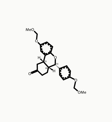 COCOc1ccc([C@H]2Oc3ccc(OCOC)cc3[C@H]3CC(=O)CC[C@H]32)cc1